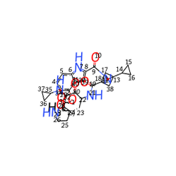 COc1cccc2[nH]c(C(=O)N3CC4(C5CC5)CC3(C(=O)NC(C[C@@H]3CCNC3=O)C(=O)C(=O)NC3CC3)C4)cc12